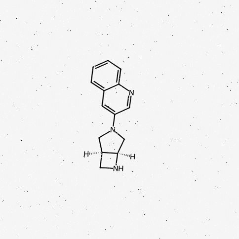 c1ccc2ncc(N3C[C@@H]4CN[C@@H]4C3)cc2c1